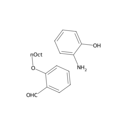 CCCCCCCCOc1ccccc1C=O.Nc1ccccc1O